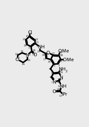 COc1cc(Cc2cnc(NC(=O)C(C)C)nc2N)c2cc(CNc3cc(Cl)ccc3C(=O)N3CCOCC3)oc2c1OC